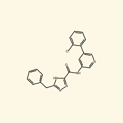 O=C(Nc1cncc(-c2ccccc2Cl)c1)c1nnc(Cc2ccccc2)[nH]1